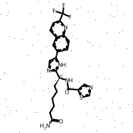 NC(=O)CCCCC[C@H](NC(=O)c1cncs1)c1ncc(-c2ccc3nc(C(F)(F)F)ccc3c2)[nH]1